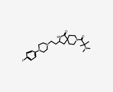 CN(C)C(C)(C)C(=O)N1CCC2(CC1)CC(CCN1CCN(c3ccc(F)cc3)CC1)NC2=O